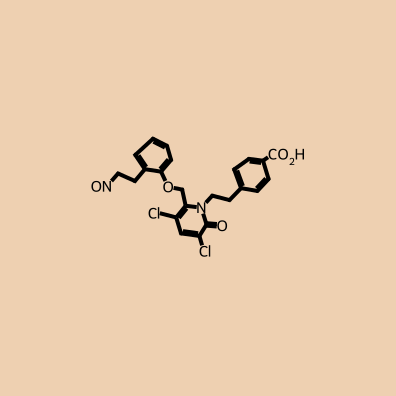 O=NCCc1ccccc1OCc1c(Cl)cc(Cl)c(=O)n1CCc1ccc(C(=O)O)cc1